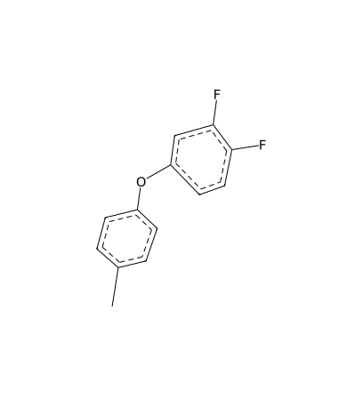 Cc1ccc(Oc2ccc(F)c(F)c2)cc1